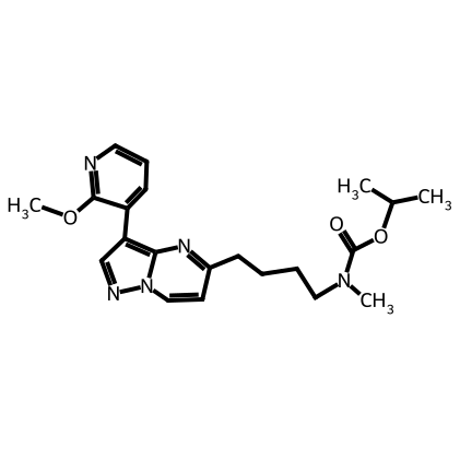 COc1ncccc1-c1cnn2ccc(CCCCN(C)C(=O)OC(C)C)nc12